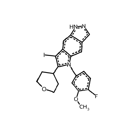 COc1cc(-n2c(C3CCOCC3)c(I)c3cc4[nH]ncc4cc32)ccc1F